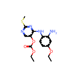 CCOC(=O)Oc1cnc(SC)nc1Nc1ccc(OCC)cc1N